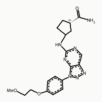 COCCOc1ccc(-n2nnc3cnc(NC4CC[C@H](C(N)=O)C4)nc32)cc1